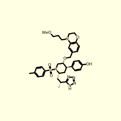 COCCCN1CCOc2ccc(CO[C@H]3CN(S(=O)(=O)c4ccc(C)cc4)[C@@H](C[C@@H](C)c4nnn[nH]4)C[C@@H]3c3ccc(O)cc3)cc21